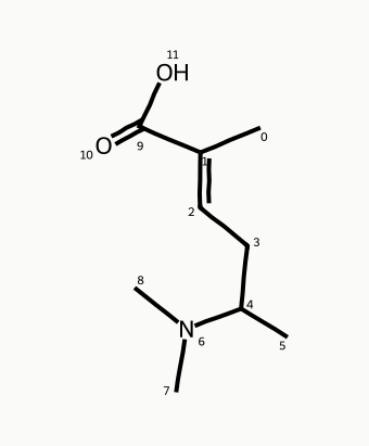 C/C(=C\CC(C)N(C)C)C(=O)O